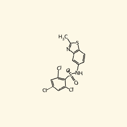 Cc1nc2cc(NS(=O)(=O)c3c(Cl)cc(Cl)cc3Cl)ccc2s1